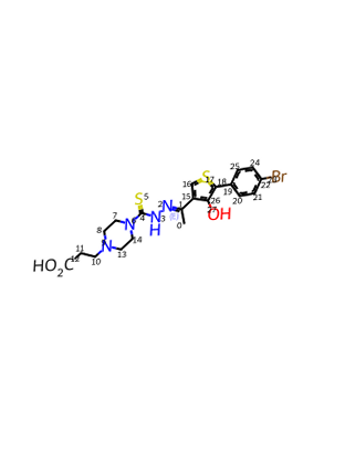 C/C(=N\NC(=S)N1CCN(CCC(=O)O)CC1)c1csc(-c2ccc(Br)cc2)c1O